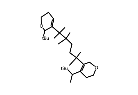 CC(C1=C(C(C)(C)CCC(C)(C)C(C)(C)C2=CCCOC2C(C)(C)C)COCC1)C(C)(C)C